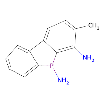 Cc1ccc2c3ccccc3p(N)c2c1N